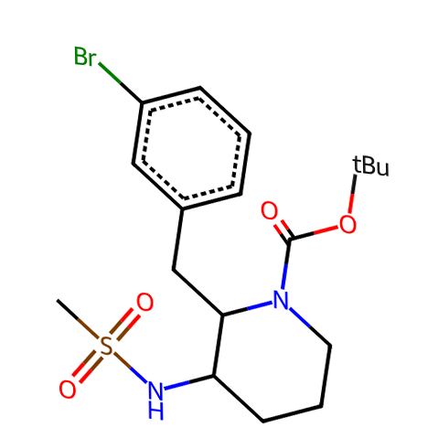 CC(C)(C)OC(=O)N1CCCC(NS(C)(=O)=O)C1Cc1cccc(Br)c1